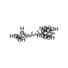 C/C(=C\CC/C(C)=C/CC1(O)C(=O)c2c(O)cc(C)c3c(O)c(C)c(O)c(c23)C1=O)CC/C=C(\CO)CCC(O)C(C)(C)O